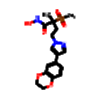 CC(CCn1cc(-c2ccc3c(c2)OCCO3)cn1)(C(=O)NO)S(C)(=O)=O